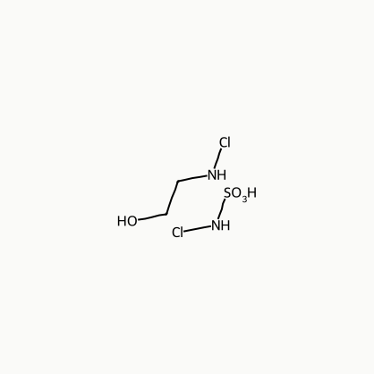 O=S(=O)(O)NCl.OCCNCl